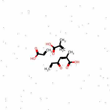 C=C(C)C(=O)O.C=CC(=O)C=C(C)C(=O)O.C=CC(=O)O